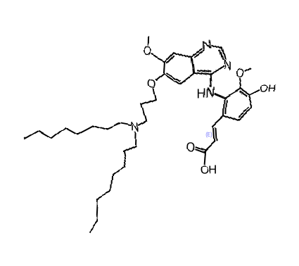 CCCCCCCCN(CCCCCCCC)CCCOc1cc2c(Nc3c(/C=C/C(=O)O)ccc(O)c3OC)ncnc2cc1OC